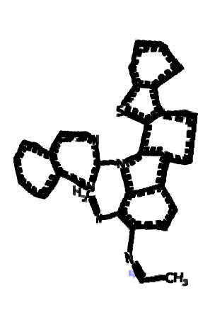 C=Nc1c(/N=C\C)ccc2c3ccc4c5ccccc5sc4c3n(-c3ncc4ccccc4n3)c12